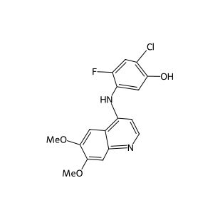 COc1cc2nccc(Nc3cc(O)c(Cl)cc3F)c2cc1OC